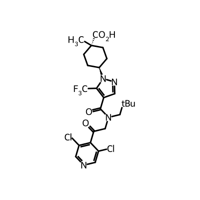 CC(C)(C)CN(CC(=O)c1c(Cl)cncc1Cl)C(=O)c1cnn([C@H]2CC[C@](C)(C(=O)O)CC2)c1C(F)(F)F